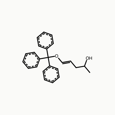 CC(O)CC=COC(c1ccccc1)(c1ccccc1)c1ccccc1